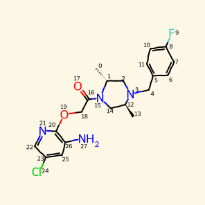 C[C@@H]1CN(Cc2ccc(F)cc2)[C@@H](C)CN1C(=O)COc1ncc(Cl)cc1N